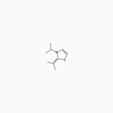 CC(C)=C1SC=CN1C(C)C